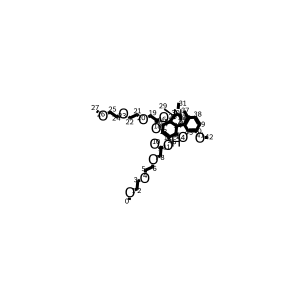 COCCOCCOCC(=O)OC1=CC[C@@]2(OC(=O)COCCOCCOC)[C@@H](C)N(C)CC[C@@]23c2c(C)ccc(OC)c2O[C@@H]13